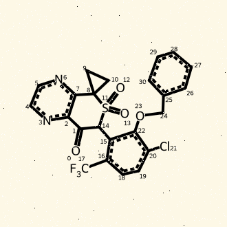 O=C1c2nccnc2C2(CC2)S(=O)(=O)C1c1c(C(F)(F)F)ccc(Cl)c1OCc1ccccc1